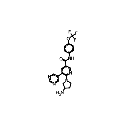 NC1CCN(c2ncc(C(=O)Nc3ccc(OC(F)(F)F)cc3)cc2-c2cncnc2)C1